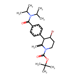 C=C1C(c2ccc(C(=O)N(C(C)C)C(C)C)cc2)C(Br)CCN1C(=O)OC(C)(C)C